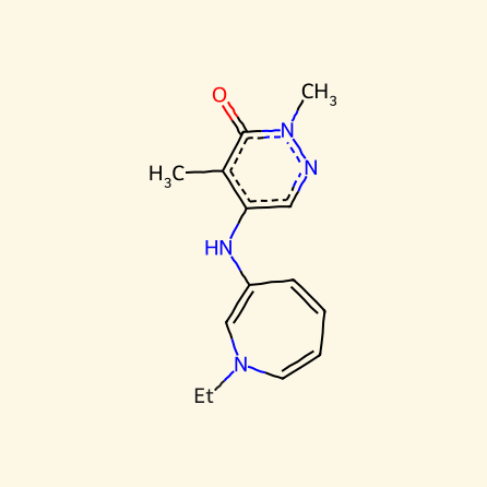 CCN1C=CC=CC(Nc2cnn(C)c(=O)c2C)=C1